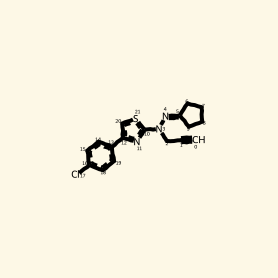 C#CCN(N=C1CCCC1)c1nc(-c2ccc(Cl)cc2)cs1